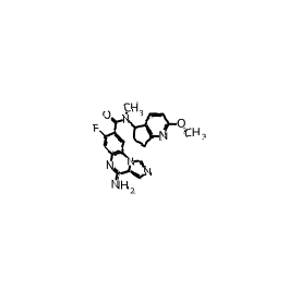 COc1ccc2c(n1)CCC2N(C)C(=O)c1cc2c(cc1F)nc(N)c1cncn12